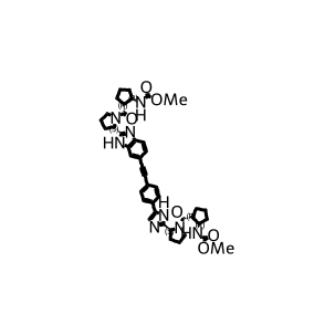 COC(=O)N[C@@H]1CCC[C@H]1C(=O)N1CCC[C@H]1c1ncc(-c2ccc(C#Cc3ccc4nc([C@@H]5CCCN5C(=O)[C@@H]5CCC[C@H]5NC(=O)OC)[nH]c4c3)cc2)[nH]1